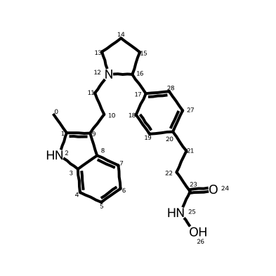 Cc1[nH]c2ccccc2c1CCN1CCCC1c1ccc(CCC(=O)NO)cc1